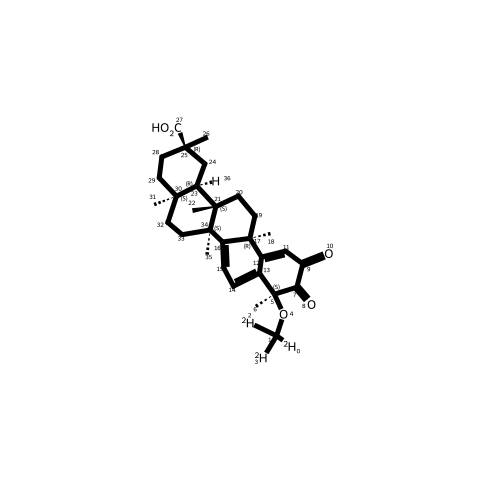 [2H]C([2H])([2H])O[C@]1(C)C(=O)C(=O)C=C2C1=CC=C1[C@@]2(C)CC[C@@]2(C)[C@@H]3C[C@](C)(C(=O)O)CC[C@]3(C)CC[C@]12C